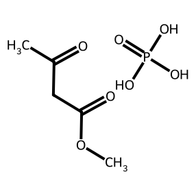 COC(=O)CC(C)=O.O=P(O)(O)O